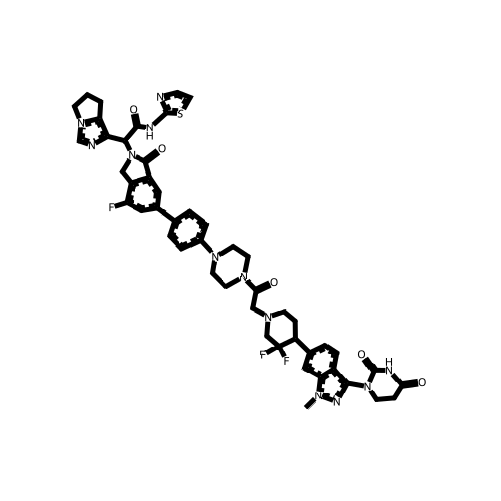 Cn1nc(N2CCC(=O)NC2=O)c2ccc(C3CCN(CC(=O)N4CCN(c5ccc(-c6cc(F)c7c(c6)C(=O)N(C(C(=O)Nc6nccs6)c6ncn8c6CCC8)C7)cc5)CC4)CC3(F)F)cc21